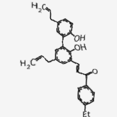 C=CCc1ccc(O)c(-c2cc(CC=C)cc(C=CC(=O)c3ccc(CC)cc3)c2O)c1